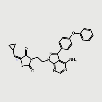 Nc1ncnc2c1c(-c1ccc(Oc3ccccc3)cc1)nn2CCN1C(=O)S/C(=C/C2CC2)C1=O